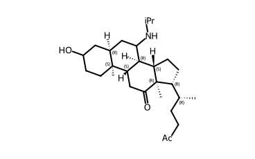 CC(=O)CC[C@@H](C)[C@H]1CC[C@H]2[C@@H]3C(NC(C)C)C[C@@H]4CC(O)CC[C@]4(C)[C@H]3CC(=O)[C@]12C